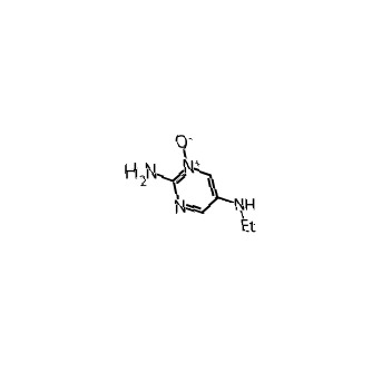 CCNc1cnc(N)[n+]([O-])c1